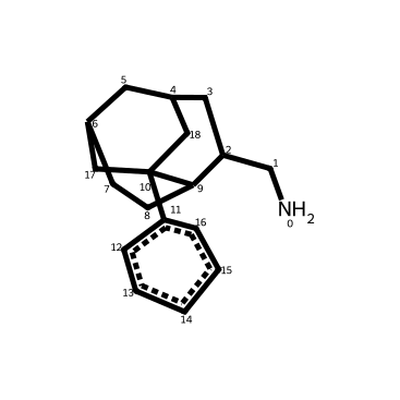 NCC1CC2CC3CCC1C(c1ccccc1)(C3)C2